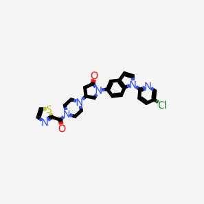 O=C(c1nccs1)N1CCN(C2CC(=O)N(c3ccc4c(ccn4-c4ccc(Cl)cn4)c3)C2)CC1